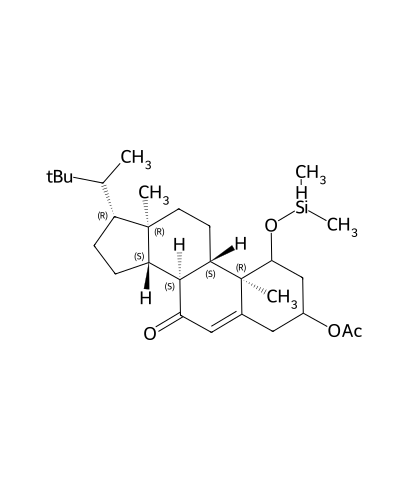 CC(=O)OC1CC2=CC(=O)[C@H]3[C@@H]4CC[C@H](C(C)C(C)(C)C)[C@@]4(C)CC[C@@H]3[C@@]2(C)C(O[SiH](C)C)C1